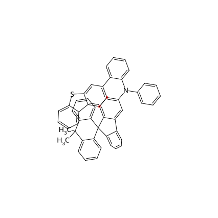 CC1(C)c2ccccc2C2(c3ccccc3-c3cc(N(c4ccccc4)c4ccccc4-c4ccc5c(c4)sc4ccccc45)ccc32)c2ccccc21